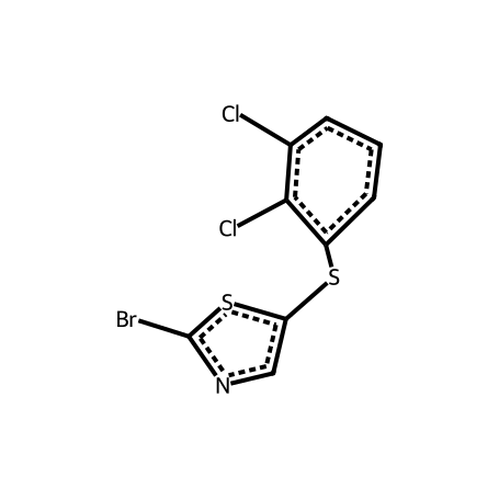 Clc1cccc(Sc2cnc(Br)s2)c1Cl